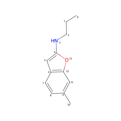 CCCNc1cc2ccc(C)cc2o1